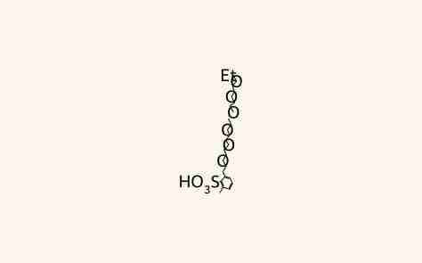 CCOCCOCCOCCOCCOCCOCCc1cccc(C)c1S(=O)(=O)O